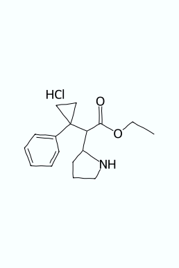 CCOC(=O)C(C1CCCN1)C1(c2ccccc2)CC1.Cl